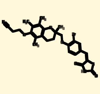 Cc1c(C)c2c(c(C)c1OCCC#N)CCC(C)(COc1ccc(C=C3SC(=O)NC3=O)cc1Br)O2